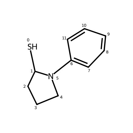 SC1CCCN1c1ccccc1